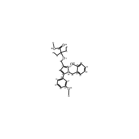 CCC(CC)(OCc1cc(-c2cccc(OC)c2)n(Cc2ccccc2Cl)n1)C(=O)OC